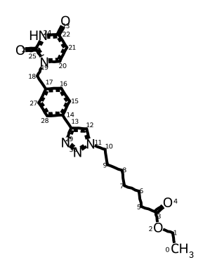 CCOC(=O)CCCCCCn1cc(-c2ccc(Cn3ccc(=O)[nH]c3=O)cc2)nn1